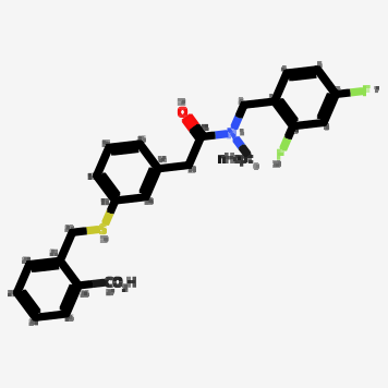 CCCCCCCN(Cc1ccc(F)cc1F)C(=O)Cc1cccc(SCc2ccccc2C(=O)O)c1